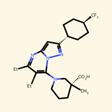 CCc1nc2cc([C@H]3CC[C@H](C(F)(F)F)CC3)nn2c(N2CCC[C@@](C)(C(=O)O)C2)c1CC